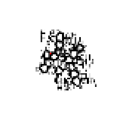 Cc1cc2c3c(c1)N(c1ccccc1-c1ccccc1)c1ccc4c(oc5cc6c(cc54)C(C)(C)CCC6(C)C)c1B3c1cc3c(cc1N2c1cc2c(cc1C)C(C)(C)CCC2(C)C)C(C)(C)c1ccccc1C3(C)C